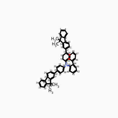 CC1(C)c2ccccc2-c2ccc(C3=CC=C(N(c4ccc(-c5ccc6c(c5)C(C)(C)c5ccccc5-6)cc4)c4ccccc4-c4ccccc4)CC3)cc21